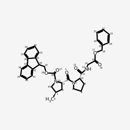 C[C@@H]1C[C@@H](C(=O)N2CCC[C@H]2C(=O)NCC(=O)OCc2ccccc2)N(C(=O)OCC2c3ccccc3-c3ccccc32)C1